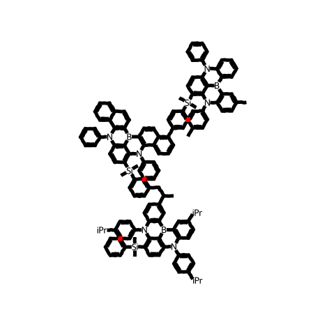 Cc1ccc(N2c3ccc(C)cc3B3c4ccccc4N(c4ccccc4)c4ccc([Si](C)(C)c5ccc(-c6cccc7c8c(ccc67)B6c7ccc9ccccc9c7N(c7ccccc7)c7ccc([Si](C)(C)c9cccc(CC(C)c%10ccc%11c(c%10)B%10c%12cc(C(C)C)ccc%12N(c%12ccc(C(C)C)cc%12)c%12ccc([Si](C)(C)c%13ccccc%13)c(c%12%10)N%11c%10ccc(C(C)C)cc%10)c9)c(c76)N8c6ccccc6)cc5)c2c43)cc1